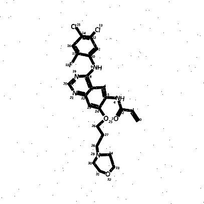 C=CC(=O)Nc1cc2c(Nc3cc(Cl)c(Cl)cc3F)ncnc2cc1OCCCN1CCOCC1